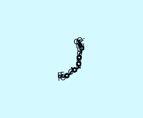 Cc1cc(CN2CCN(c3ccc(OCC4CCn5cc([N+](=O)[O-])nc5O4)cc3)CC2)ccc1OCc1ccc(OC(F)(F)F)cc1